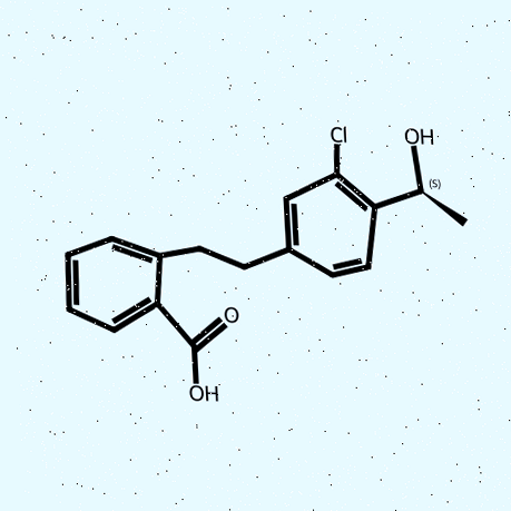 C[C@H](O)c1ccc(CCc2ccccc2C(=O)O)cc1Cl